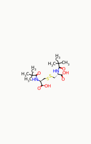 CC(C)(C)C(=O)N[C@@H](CSSC[C@H](NC(=O)C(C)(C)C)C(=O)O)C(=O)O